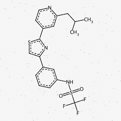 CC(C)Cc1cc(-c2nc(-c3cccc(NS(=O)(=O)C(F)(F)F)c3)cs2)ccn1